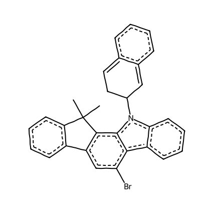 CC1(C)c2ccccc2-c2cc(Br)c3c4ccccc4n(C4C=c5ccccc5=CC4)c3c21